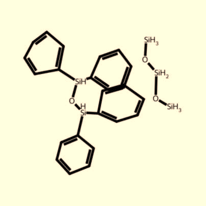 [SiH3]O[SiH2]O[SiH3].c1ccc([SiH](O[SiH](c2ccccc2)c2ccccc2)c2ccccc2)cc1